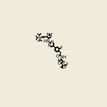 CC(C)[Si](C#Cc1nn(C)cc1Nc1ncc(-c2ccc(CC(=O)Nc3cc(C4(C(F)(F)F)CC4)on3)c(F)c2)cn1)(C(C)C)C(C)C